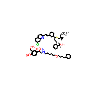 CC(C)(O)c1ccccc1CCC(SCC1(CC(=O)O)CC1)c1cccc(C=Cc2ccc3ccc(Cl)cc3n2)c1.OCc1cc(C(O)CNCCCCCCOCCCCc2ccccc2)ccc1O